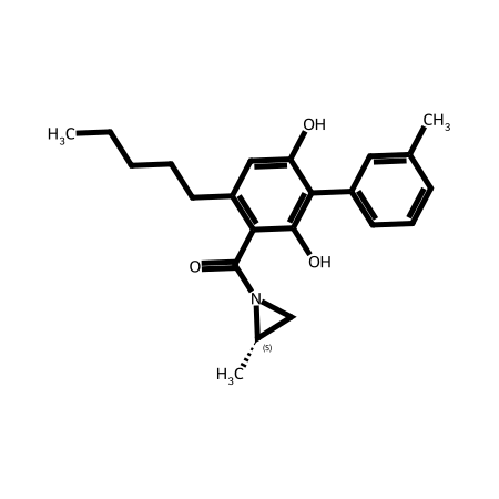 CCCCCc1cc(O)c(-c2cccc(C)c2)c(O)c1C(=O)N1C[C@@H]1C